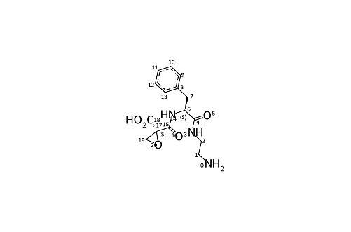 NCCNC(=O)[C@H](Cc1ccccc1)NC(=O)[C@]1(C(=O)O)CO1